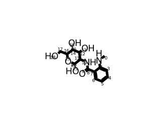 CNc1ccccc1C(=O)NC1C(O)[C@@H](O)C(CO)O[C@H]1O